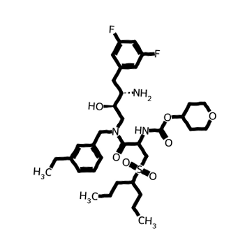 CCCC(CCC)S(=O)(=O)CC(NC(=O)OC1CCOCC1)C(=O)N(Cc1cccc(CC)c1)C[C@@H](O)[C@@H](N)Cc1cc(F)cc(F)c1